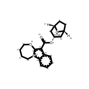 CN1[C@@H]2CC[C@H]1C[C@@H](OC(=O)c1c3n(c4ccccc14)CCCCO3)C2